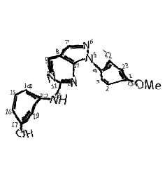 COc1ccc(-n2ncc3cnc(Nc4cccc(O)c4)nc32)cc1